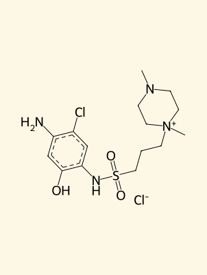 CN1CC[N+](C)(CCCS(=O)(=O)Nc2cc(Cl)c(N)cc2O)CC1.[Cl-]